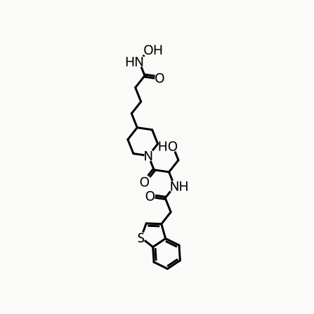 O=C(CCCC1CCN(C(=O)C(CO)NC(=O)Cc2csc3ccccc23)CC1)NO